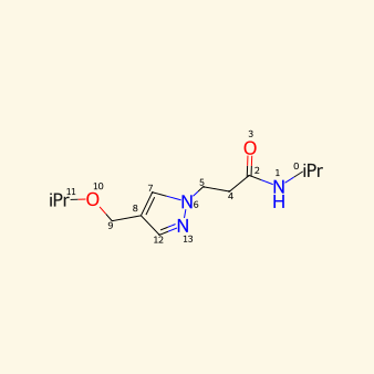 CC(C)NC(=O)CCn1cc(COC(C)C)cn1